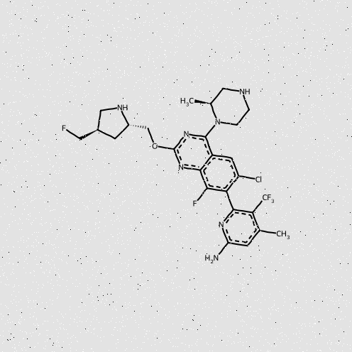 Cc1cc(N)nc(-c2c(Cl)cc3c(N4CCNC[C@@H]4C)nc(OC[C@@H]4C[C@@H](CF)CN4)nc3c2F)c1C(F)(F)F